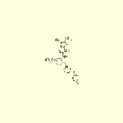 CC(=O)c1sc(NC(=O)N[C@H]2CN(C(=O)O)CC[C@H]2CN2CCC[C@@H](Cc3ccc(F)cc3)C2)nc1C